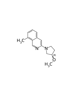 CO[C@@H]1CCN(c2cc3cccc(C)c3cn2)C1